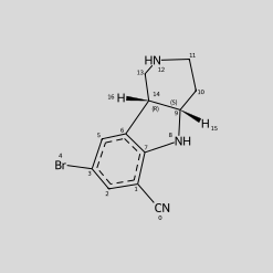 N#Cc1cc(Br)cc2c1N[C@H]1CCNC[C@@H]21